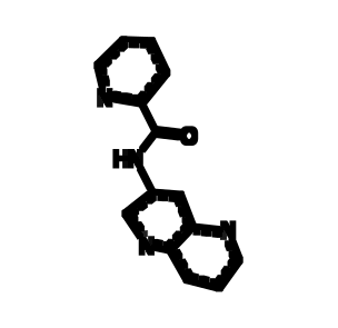 O=C(Nc1cnc2cccnc2c1)c1ccccn1